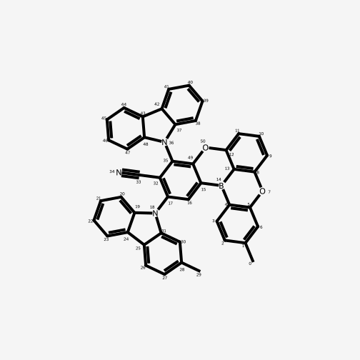 Cc1ccc2c(c1)Oc1cccc3c1B2c1cc(-n2c4ccccc4c4ccc(C)cc42)c(C#N)c(-n2c4ccccc4c4ccccc42)c1O3